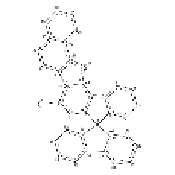 Clc1cc(C2(c3ccccc3)c3ccccc3-c3ccccc32)cc2sc3c4ccccc4ccc3c12